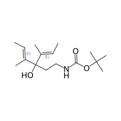 C/C=C(\C)C(O)(CCNC(=O)OC(C)(C)C)/C(C)=C/C